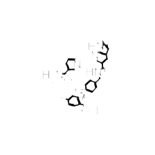 NC(=O)c1cccnc1.O=C(NCc1ccc(S(=O)(=O)c2cc(F)ccc2CO)cc1)c1cnc2[nH]ncc2c1